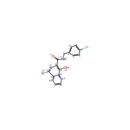 O=C(NCc1ccc(F)cc1)c1nc(Br)c2nccnc2c1O